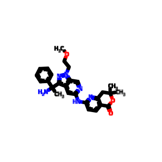 COCCn1nc(C(C)(N)c2ccccc2)c2cc(Nc3ccc4c(n3)CC(C)(C)OC4=O)ncc21